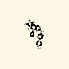 CC(C)N1CCN(c2ccc(Nc3ncc4c(n3)N(C3CCCC3)C(=O)[C@@]3(CC(=O)N(C)C3=O)C4)cn2)CC1